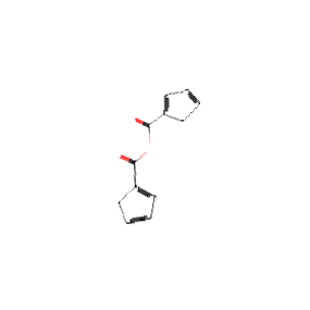 O=C(OC(=O)C1=CC=CC1)C1=CC=CC1